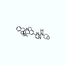 N#Cc1cc(-c2ccnc(NC3CCOCC3)n2)cc2c1N(C(=O)Cc1ccccc1Cl)CC2